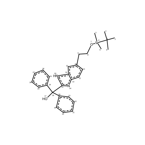 CC(C)(C)[Si](C)(C)OCCc1ccc2nc(C(O)(c3ccccc3)c3ccccc3)[nH]c2c1